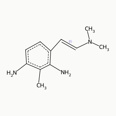 Cc1c(N)ccc(/C=C/N(C)C)c1N